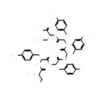 N[C@@H](CS)C(=O)N[C@@H](Cc1ccc(O)cc1)C(=O)N[C@@H](Cc1ccc(O)cc1)C(=O)N[C@@H](Cc1ccc(O)cc1)C(=O)N[C@@H](Cc1ccc(O)cc1)C(=O)N[C@@H](CS)C(=O)O